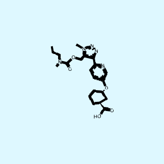 CCCN(C)C(=O)OCc1c(-c2ccc(O[C@H]3CCC[C@H](C(=O)O)C3)cn2)nnn1C